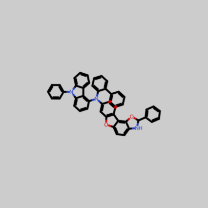 c1ccc(-c2ccccc2N(c2ccc3c(c2)oc2ccc4c(c23)OC(c2ccccc2)N4)c2cccc3c2c2ccccc2n3-c2ccccc2)cc1